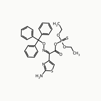 CCOP(=S)(OCC)OC(=O)/C(=N\OC(c1ccccc1)(c1ccccc1)c1ccccc1)c1csc(N)n1